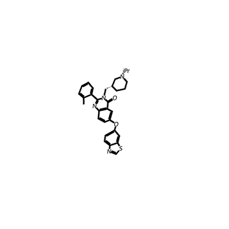 Cc1ccccc1-c1nc2ccc(Oc3ccc4ncsc4c3)cc2c(=O)n1C[C@H]1CCCN(C(C)C)C1